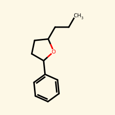 CCCC1CCC(c2ccccc2)O1